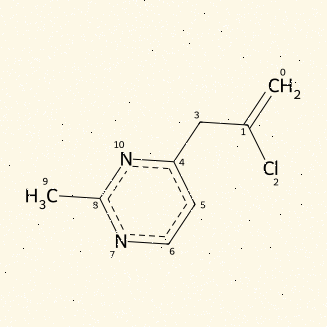 C=C(Cl)Cc1ccnc(C)n1